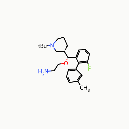 Cc1cccc(-c2c(F)cccc2[C@H](OCCN)[C@@H]2CCCN(C(C)(C)C)C2)c1